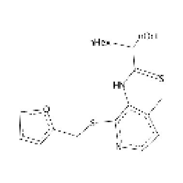 CCCCCCCCC(CCCCCC)C(=S)Nc1c(C)ccnc1SCc1ccco1